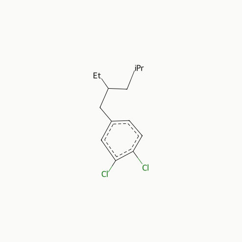 CCC(Cc1ccc(Cl)c(Cl)c1)CC(C)C